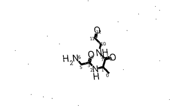 CC(NC(=O)CN)C(=O)NCC=O